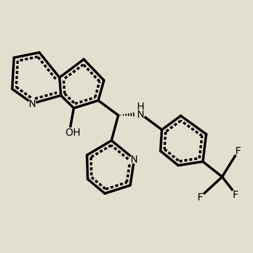 Oc1c([C@H](Nc2ccc(C(F)(F)F)cc2)c2ccccn2)ccc2cccnc12